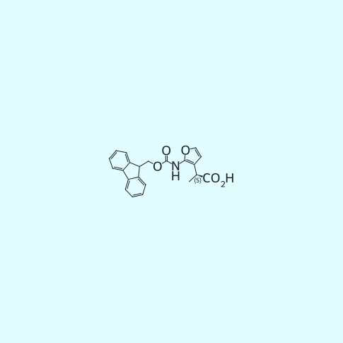 C[C@H](C(=O)O)c1ccoc1NC(=O)OCC1c2ccccc2-c2ccccc21